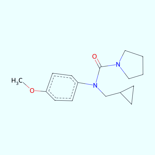 COc1ccc(N(CC2CC2)C(=O)N2CCCC2)cc1